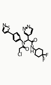 O=C(NC1CCC(F)(F)CC1)C(c1ccnnc1)N(C(=O)CCl)c1ccc(-c2ccns2)cc1